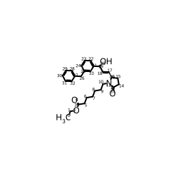 CCOC(=O)CCCCCCN1C(=O)CC[C@@H]1C=CC(O)c1cccc(Cc2ccccc2)c1